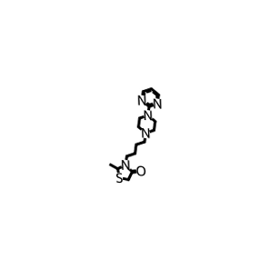 CC1SCC(=O)N1CCCCN1CCN(c2ncccn2)CC1